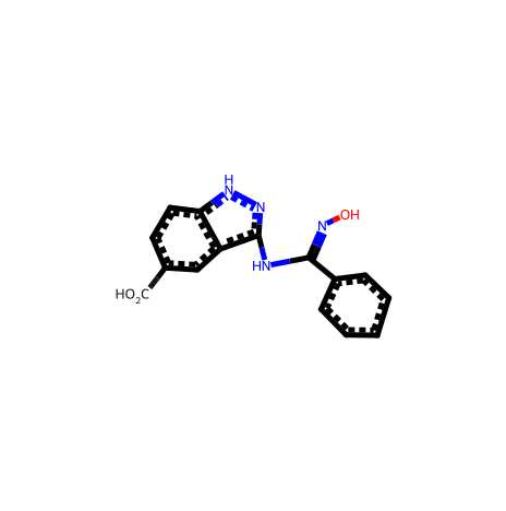 O=C(O)c1ccc2[nH]nc(NC(=NO)c3ccccc3)c2c1